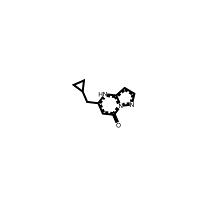 O=c1cc(CC2CC2)[nH]c2ccnn12